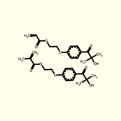 C=C(C)C(=O)OCCOc1ccc(C(=O)C(C)(C)O)cc1.C=CC(=O)OCCOc1ccc(C(=O)C(C)(C)O)cc1